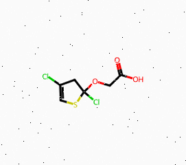 O=C(O)COC1(Cl)CC(Cl)=CS1